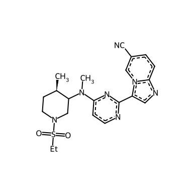 CCS(=O)(=O)N1CC[C@@H](C)C(N(C)c2ccnc(-c3cnc4ccc(C#N)cn34)n2)C1